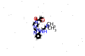 CN(C)CCCNc1nc(CN2CCN(C(=O)c3ccoc3)CC2)nc2ccccc12